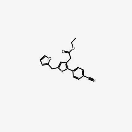 CCOC(=O)Cc1cc(Cc2ccco2)sc1-c1ccc(C#N)cc1